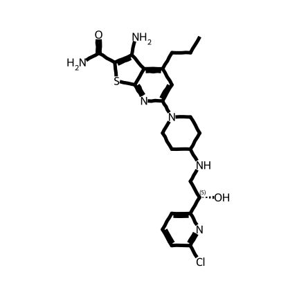 CCCc1cc(N2CCC(NC[C@H](O)c3cccc(Cl)n3)CC2)nc2sc(C(N)=O)c(N)c12